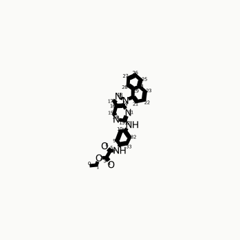 CCOC(=O)C(=O)Nc1ccc(Nc2ncc3cnn(-c4cccc5ccccc45)c3n2)cc1